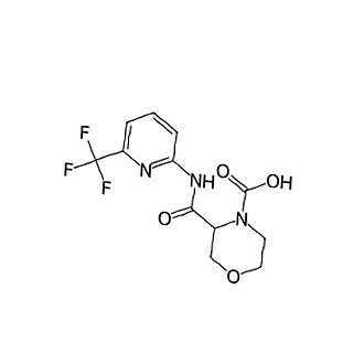 O=C(Nc1cccc(C(F)(F)F)n1)C1COCCN1C(=O)O